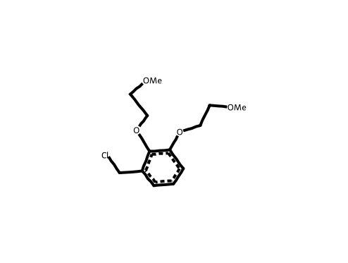 COCCOc1cccc(CCl)c1OCCOC